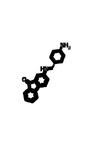 N[C@H]1CC[C@H](CNc2ccc3c(c2)C(=O)c2ccccc2-3)CC1